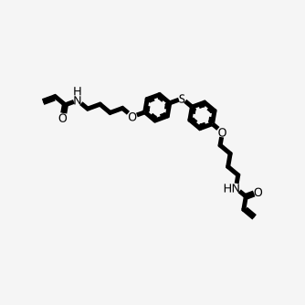 C=CC(=O)NCCCCOc1ccc(Sc2ccc(OCCCCNC(=O)C=C)cc2)cc1